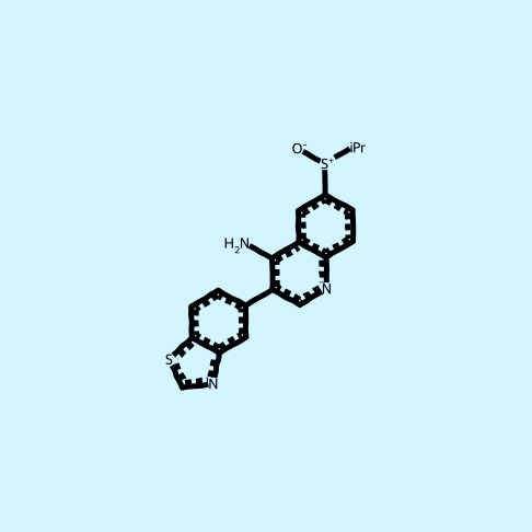 CC(C)[S+]([O-])c1ccc2ncc(-c3ccc4scnc4c3)c(N)c2c1